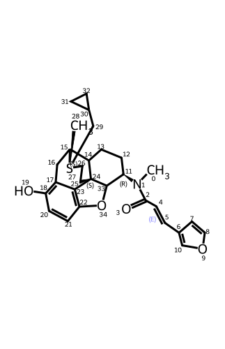 CN(C(=O)/C=C/c1ccoc1)[C@@H]1CCC2C3Cc4c(O)ccc5c4[C@@]2(CC[S@@]3(C)CC2CC2)C1O5